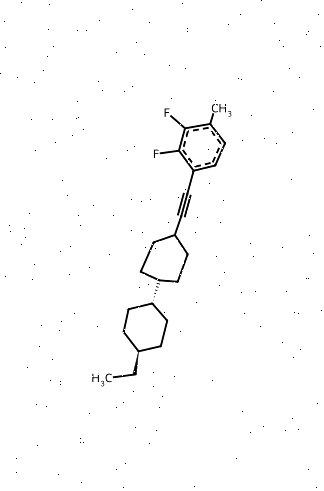 CC[C@H]1CC[C@H](C2CCC(C#Cc3ccc(C)c(F)c3F)CC2)CC1